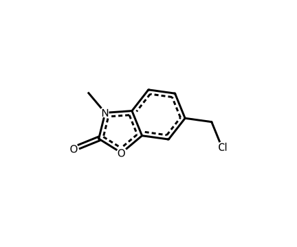 Cn1c(=O)oc2cc(CCl)ccc21